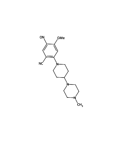 COc1cc(N2CCC(N3CCN(C)CC3)CC2)c(C#N)cc1N=O